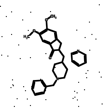 COc1cc2c(cc1OC)C(=O)C(CC1CCN(Cc3ccccc3)CC1)C2.c1ccncc1